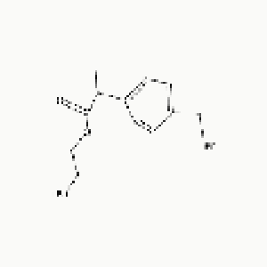 CC(C)Cc1ccc(C(C)C(=O)OCCC(C)(C)C)cc1